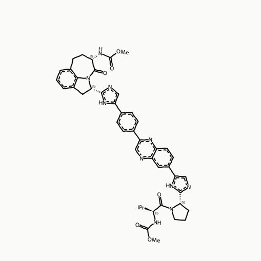 COC(=O)N[C@H]1CCc2cccc3c2N(C1=O)[C@H](c1ncc(-c2ccc(-c4cnc5cc(-c6cnc([C@@H]7CCCN7C(=O)[C@@H](NC(=O)OC)C(C)C)[nH]6)ccc5n4)cc2)[nH]1)C3